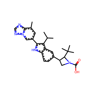 Cc1cc(-c2[nH]c3ccc(C4CN(C(=O)O)C4C(C)(C)C)cc3c2C(C)C)cn2ncnc12